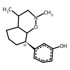 CC1CN(C)OC2C1CCC[C@@H]2c1cccc(O)c1